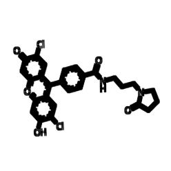 O=C(NCCCN1CCCC1=O)c1ccc(-c2c3cc(Cl)c(=O)cc-3oc3cc(O)c(Cl)cc23)cc1